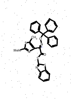 CNc1nc(/C(=N\OC(c2ccccc2)(c2ccccc2)c2ccccc2)C(=O)Sc2nc3ccccc3s2)c(C)s1